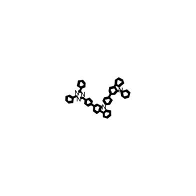 C1=CCC2C(=C1)N(c1ccc(-c3ccc4c5ccccc5n(-c5ccccc5)c4c3)cc1)c1cc(-c3ccc(-c4nc(-c5ccccc5)nc(-c5ccccc5)n4)cc3)ccc12